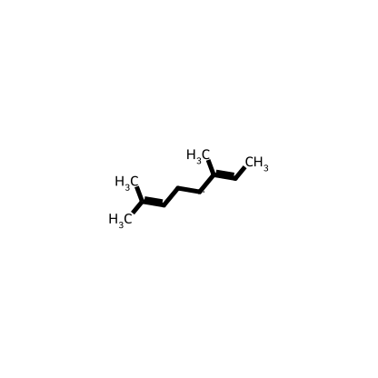 C/C=C(\C)[CH]CC=C(C)C